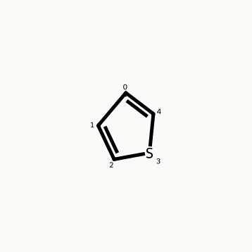 [c]1ccsc1